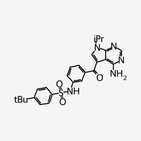 CC(C)n1cc(C(=O)c2cccc(NS(=O)(=O)c3ccc(C(C)(C)C)cc3)c2)c2c(N)ncnc21